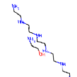 NCCNCCNCCNCCNCCN.NCCO